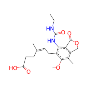 CCNC(=O)Nc1c(CC=C(C)CCC(=O)O)c(OC)c(C)c2c1C(=O)OC2